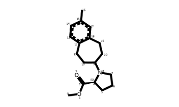 COC(=O)[C@@H]1CCCN1C1CCc2ccc(C)cc2CC1